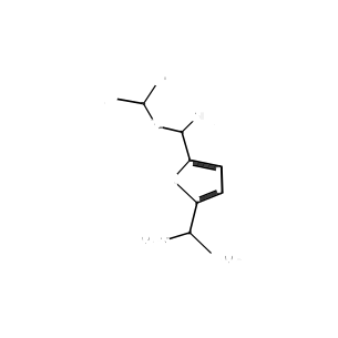 CNC(OC)c1ccc(C(N)NC(O)C(F)(F)F)s1